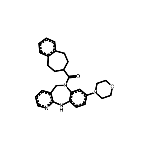 O=C(C1CCc2ccccc2CC1)N1Cc2cccnc2Nc2ccc(N3CCOCC3)cc21